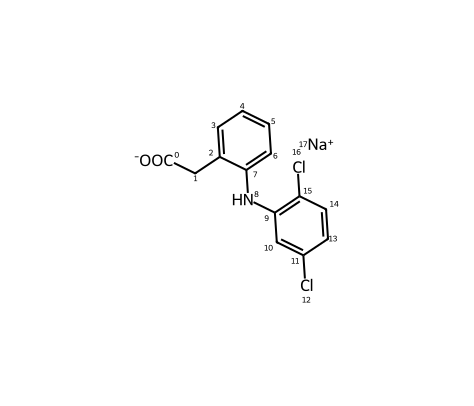 O=C([O-])Cc1ccccc1Nc1cc(Cl)ccc1Cl.[Na+]